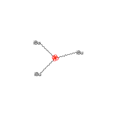 CCC(C)CCCCCCCCCCCCCCCOP(=O)(OCCCCCCCCCCCCCCCC(C)CC)OCCCCCCCCCCCCCCCC(C)CC